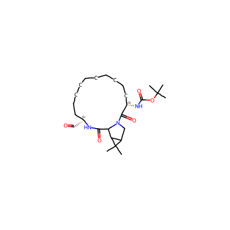 CC(C)(C)OC(=O)N[C@H]1CCCCCCCCCC[C@@H](C=O)NC(=O)C2C3C(CN2C1=O)C3(C)C